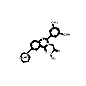 COc1cc(OC)cc(-c2nc3ccc(N4CCN5CCC4CC5)cc3c(=O)n2CC(=O)OC(C)(C)C)c1